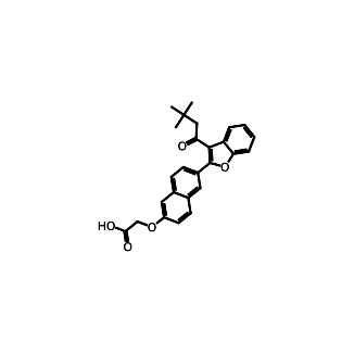 CC(C)(C)CC(=O)c1c(-c2ccc3cc(OCC(=O)O)ccc3c2)oc2ccccc12